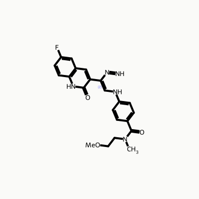 COCCN(C)C(=O)c1ccc(N/C=C(\N=N)c2cc3cc(F)ccc3[nH]c2=O)cc1